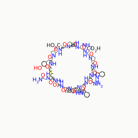 CCCC[C@@H]1C(=O)N(C)[C@H](CCCC)C(=O)N[C@@H](C)C(=O)N[C@@H](C(=O)NCC(N)=O)CSCC(=O)N[C@@H](Cc2ccc(O)cc2)C(=O)N2CCCC2C(=O)N[C@H](CC(=O)O)C(=O)N2CCC[C@H]2C(=O)NC(CN)C(=O)NC(CC(=O)O)C(=O)N2CCCC2C(=O)N[C@H](Cc2c[nH]c3ccccc23)C(=O)N[C@@H](CCN)C(=O)N[C@@H](Cc2c[nH]c3ccccc23)C(=O)N1C